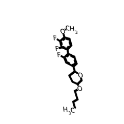 CCCCCOC1CCC(c2ccc(-c3ccc(OC)c(F)c3F)c(F)c2)OC1